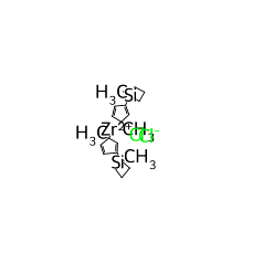 C[C]1([Zr+2][C]2(C)C=CC([Si]3(C)CCC3)=C2)C=CC([Si]2(C)CCC2)=C1.[Cl-].[Cl-]